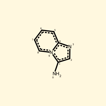 Nc1cnc2cc[c]cn12